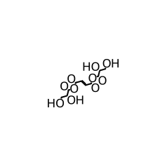 O=C(/C=C/C(=O)OC(=O)C(O)CO)OC(=O)C(O)CO